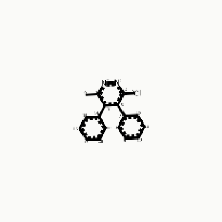 Cc1nnc(Cl)c(-c2ccccc2)c1-c1ccccc1